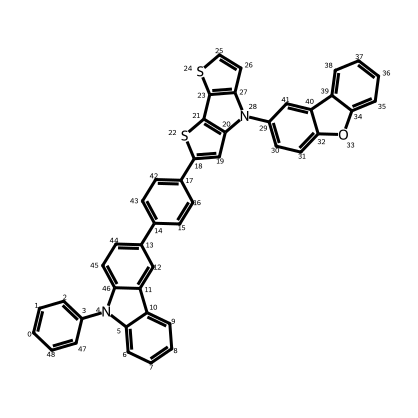 c1ccc(-n2c3ccccc3c3cc(-c4ccc(-c5cc6c(s5)c5sccc5n6-c5ccc6oc7ccccc7c6c5)cc4)ccc32)cc1